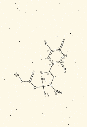 BC(B)(OC(=O)CN)C(CC(C)n1cc(F)c(=O)[nH]c1=O)OC